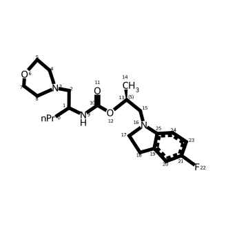 CCCC(CN1CCOCC1)NC(=O)O[C@@H](C)CN1CCc2cc(F)ccc21